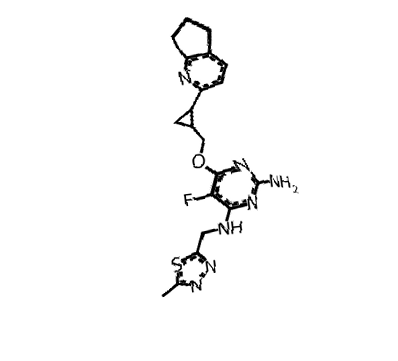 Cc1nnc(CNc2nc(N)nc(OCC3CC3c3ccc4c(n3)CCC4)c2F)s1